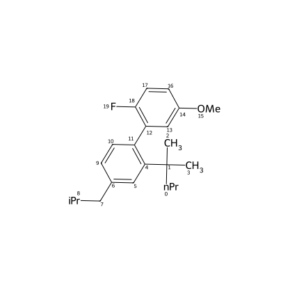 CCCC(C)(C)c1cc(CC(C)C)ccc1-c1cc(OC)ccc1F